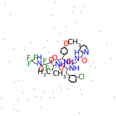 COc1ccc(C(NC(=O)C(Cc2cccc(Cl)c2)NC(=O)CNC(=O)c2ccccn2)C(=O)NC(C(=O)C(F)(F)C(=O)NCC(F)(F)F)C(C)C)cc1